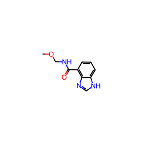 COCNC(=O)c1cccc2[nH]cnc12